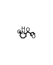 O=C1CCCCC(C(=O)c2ccoc2)N1